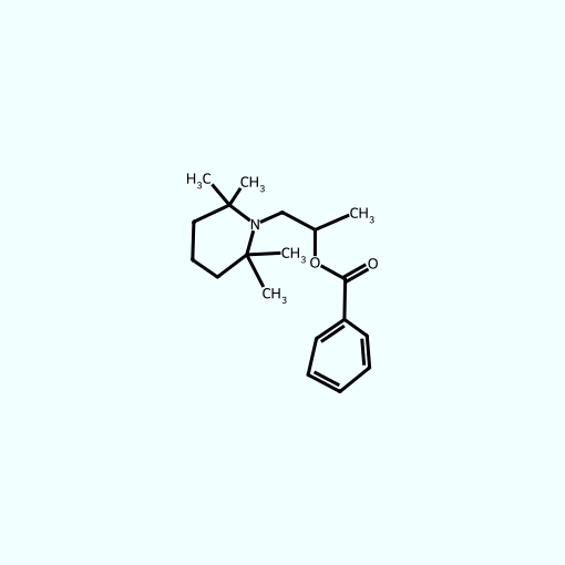 CC(CN1C(C)(C)CCCC1(C)C)OC(=O)c1ccccc1